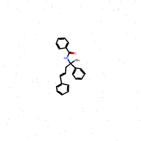 CC(C)(C)C(CC=Cc1ccccc1)(NC(=O)c1ccccc1)c1ccccc1